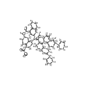 COC(=O)c1ccc(COc2ccc3cc(-c4ccccc4)ccc3c2-c2c(OCc3ccc(C(=O)OC)c4ccccc34)ccc3cc(-c4ccccc4)ccc23)c2ccccc12